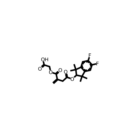 C=C(CC(=O)OC1C(C)(C)c2cc(F)c(F)cc2C1(C)C)C(=O)OCC(=O)O